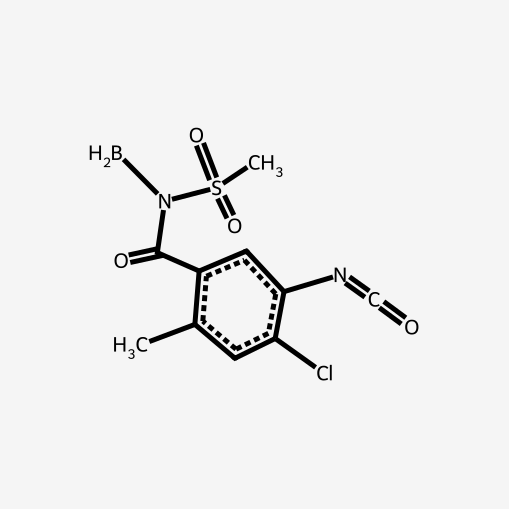 BN(C(=O)c1cc(N=C=O)c(Cl)cc1C)S(C)(=O)=O